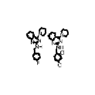 Clc1ccc(CNc2nc(N3CCCCC3)c3ccccc3n2)c(Cl)c1.Fc1ccc(CNc2nc(N3CCCCC3)c3ccccc3n2)cc1